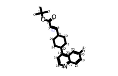 CC(C)(C)OC(=O)/C=C/C1CCC(c2ccnc3ccc(F)cc23)CC1